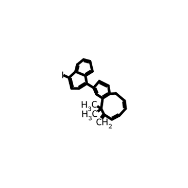 C=C1/C=C\C=C/Cc2ccc(-c3ccc(I)c4ccccc34)cc2C1(C)C